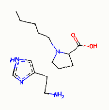 CCCCCN1CCCC1C(=O)O.NCCc1c[nH]cn1